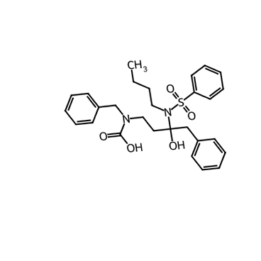 CCCCN(C(O)(CCN(Cc1ccccc1)C(=O)O)Cc1ccccc1)S(=O)(=O)c1ccccc1